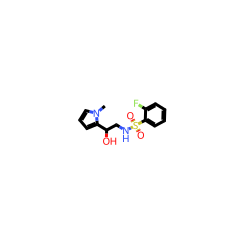 Cn1cccc1C(O)CNS(=O)(=O)c1ccccc1F